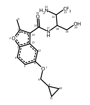 Cc1oc2ccc(OCC3CC3)cc2c1C(=O)NC(CO)C(N)C(F)(F)F